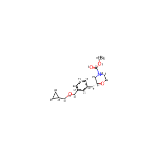 CC(C)(C)OC(=O)N1CCO[C@H](Cc2cccc(COCC3CC3)c2)C1